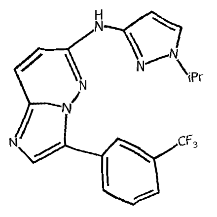 CC(C)n1ccc(Nc2ccc3ncc(-c4cccc(C(F)(F)F)c4)n3n2)n1